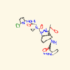 CC(=O)c1nn(CC(=O)N(CC(=O)Nc2cccc(Cl)n2)C2CC2)c2ccc(NC(=O)C3CCCN3)cc12